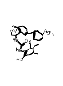 Cc1cc(O)c(NC(=O)NC(CC(=O)O)c2cc(-c3cccc(OC(F)(F)F)c3)ccc2F)c(=O)n1C